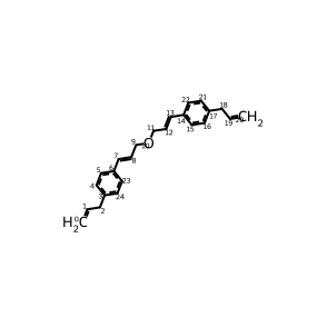 C=CCc1ccc(C=CCOCC=Cc2ccc(CC=C)cc2)cc1